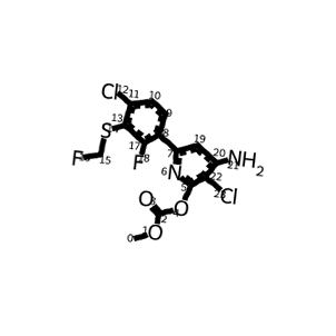 COC(=O)Oc1nc(-c2ccc(Cl)c(SCF)c2F)cc(N)c1Cl